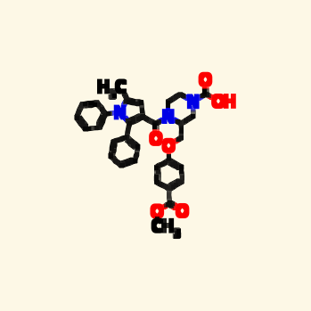 COC(=O)c1ccc(OCC2CN(C(=O)O)CCN2C(=O)c2cc(C)n(-c3ccccc3)c2-c2ccccc2)cc1